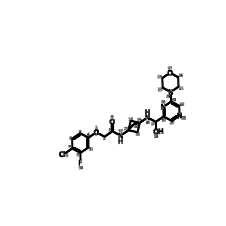 O=C(COc1ccc(Cl)c(F)c1)NC12CC(NC(O)c3cncc(N4CCOCC4)n3)(C1)C2